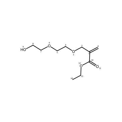 C=C(COCCOCCO)C(=O)OCC